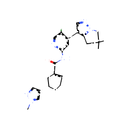 Cn1cc([C@H]2CCC=C(C(=O)Nc3cc(-c4cnn5c4CC(C)(C)C5)c(Cl)cn3)C2)cn1